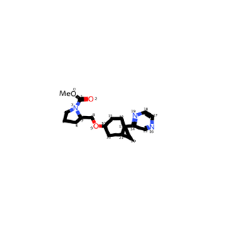 COC(=O)N1CCCC1COC1CCC2(c3cnccn3)CC2C1